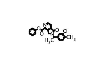 Cc1ccc(C(C)N2Cc3c(ccnc3C(=O)Oc3ccccc3)C2=O)cc1Cl